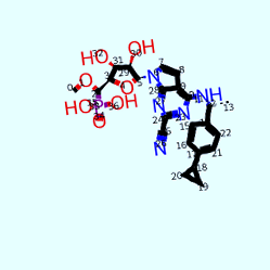 COC([C@@H]1O[C@@H](n2ccc3c(N[C@H](C)c4ccc(C5CC5)cc4)nc(C#N)nc32)[C@H](O)[C@@H]1O)P(=O)(O)O